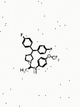 C=C(Nc1ccc(OC(F)(F)F)cc1)N1CCC(C(c2ccc(F)cc2)c2ccc(F)cc2)C1